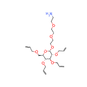 C=CCOC[C@H]1O[C@@H](OCCOCCOCCN)[C@H](OCC=C)[C@@H](OCC=C)[C@@H]1OCC=C